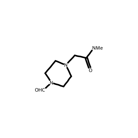 CNC(=O)CN1CCN(C=O)CC1